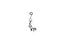 O=C(NC1CCC(CCc2cccc(F)c2F)CC1)c1ccc2c(c1)CC1(C2)C(=O)Nc2ncccc21